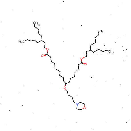 CCCCCC(CCCCC)CCOC(=O)CCCCCCCCC(CCCCCCC(=O)OCCC(CCCCC)CCCCC)OCCCCN1CCOCC1